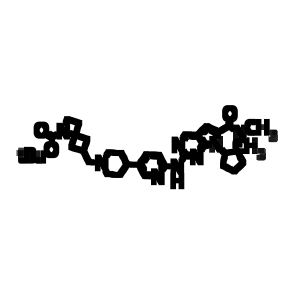 CN(C)C(=O)c1cc2cnc(Nc3ccc(C4CCN(CC5CC6(CCN6C(=O)OC(C)(C)C)C5)CC4)cn3)nc2n1C1CCCC1